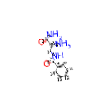 NC(=O)[C@@H](N)CNC(=O)c1ccccc1